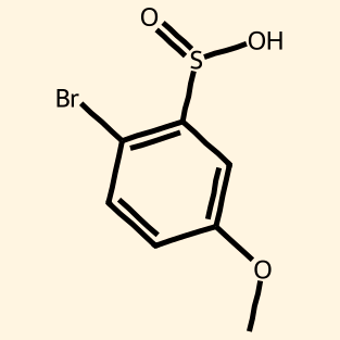 COc1ccc(Br)c(S(=O)O)c1